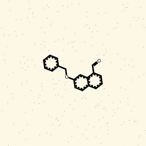 O=Cc1cccc2ccc(OCc3ccccc3)cc12